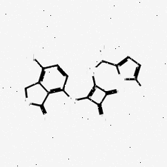 CC[C@@H](Nc1c(Nc2ccc(Cl)c3c2C(=O)NC3)c(=O)c1=O)c1ccc(Cl)o1